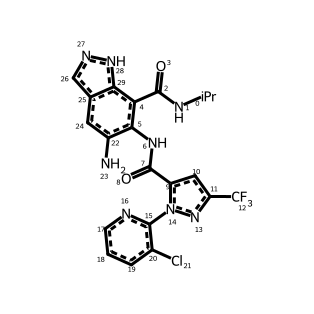 CC(C)NC(=O)c1c(NC(=O)c2cc(C(F)(F)F)nn2-c2ncccc2Cl)c(N)cc2cn[nH]c12